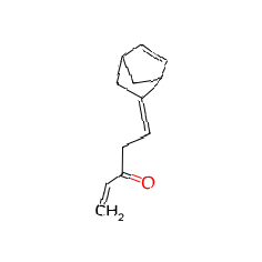 C=CC(=O)CC=C1CC2C=CC1C2